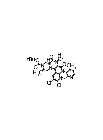 Cc1ccnc(C(C)C)c1-n1c(=O)c2c(c3cc(Cl)c(Cl)nc31)N1C[C@@H](C)N(C(=O)OC(C)(C)C)C[C@@H]1C(=O)N2C